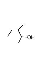 [CH2]C(CC)C(C)O